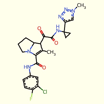 CC1=C(C(=O)Nc2ccc(F)c(Cl)c2)N2CCCC2C1C(=O)C(=O)NC1(c2cn(C)nn2)CC1